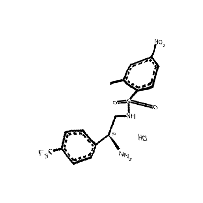 Cc1cc([N+](=O)[O-])ccc1S(=O)(=O)NC[C@@H](N)c1ccc(C(F)(F)F)cc1.Cl